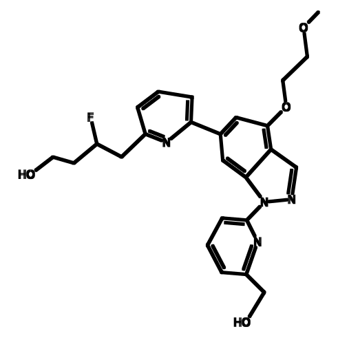 COCCOc1cc(-c2cccc(CC(F)CCO)n2)cc2c1cnn2-c1cccc(CO)n1